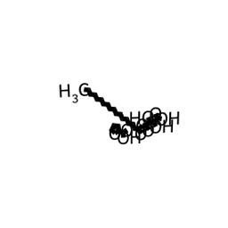 CCCCCCCCCCCCCCCCCC(=O)OC(=O)C(O)C(O)C(=O)O.O=C(O)c1ccco1